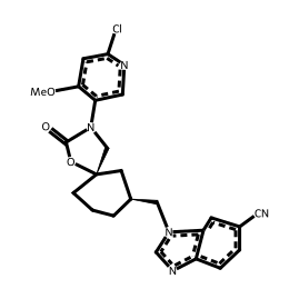 COc1cc(Cl)ncc1N1C[C@@]2(CCC[C@H](Cn3cnc4ccc(C#N)cc43)C2)OC1=O